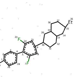 CCc1ccc(-c2c(F)cc(C3CCC4CC(CC)CCC4C3)cc2F)cc1